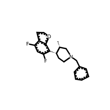 C[C@@H]1CN(Cc2ccccc2)CC[C@@H]1c1c(F)cc(F)c2ccoc12